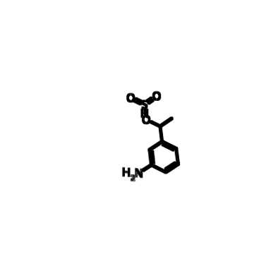 CC(O[SH](=O)=O)c1cccc(N)c1